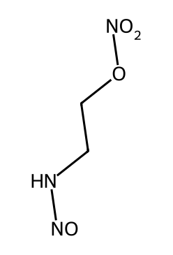 O=NNCCO[N+](=O)[O-]